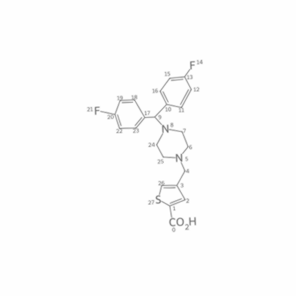 O=C(O)c1cc(CN2CCN(C(c3ccc(F)cc3)c3ccc(F)cc3)CC2)cs1